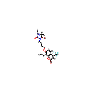 CCCc1c(OCCCCN2C(=O)N(CC)C(C)(C)C2=O)ccc2c(C(F)(F)F)cc(=O)oc12